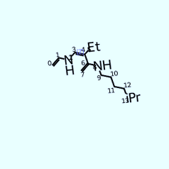 C=CN/C=C(/CC)C(=C)NCCCCC(C)C